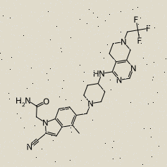 Cc1c(CN2CCC(Nc3ncnc4c3CCN(CC(F)(F)F)C4)CC2)ccc2c1cc(C#N)n2CC(N)=O